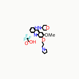 COc1cc2c(NC3CCOCC3)c3ccccc3nc2cc1OCCCN1CCCC1.O=C(O)C(F)(F)F